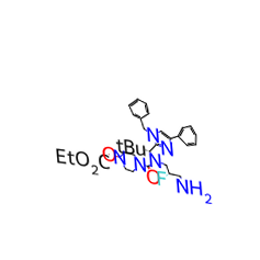 CCOC(=O)ON1CCN(C(=O)N(C[C@@H](F)CN)[C@@H](c2nc(-c3ccccc3)cn2Cc2ccccc2)C(C)(C)C)CC1